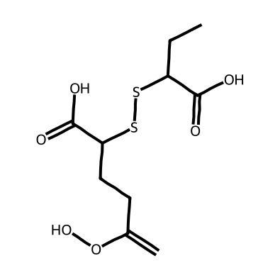 C=C(CCC(SSC(CC)C(=O)O)C(=O)O)OO